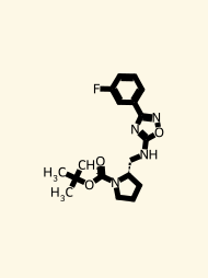 CC(C)(C)OC(=O)N1CCC[C@H]1CNc1nc(-c2cccc(F)c2)no1